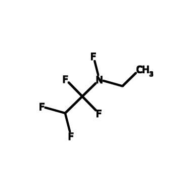 CCN(F)C(F)(F)C(F)F